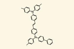 Cc1ccc(N(c2ccc(C)cc2)c2ccc(/C=C/c3ccc(N(c4ccc(C)cc4)c4ccc(-c5ccccc5)cc4)cc3)cc2)cc1